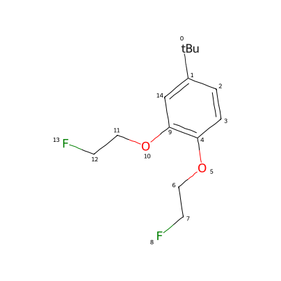 CC(C)(C)c1ccc(OCCF)c(OCCF)c1